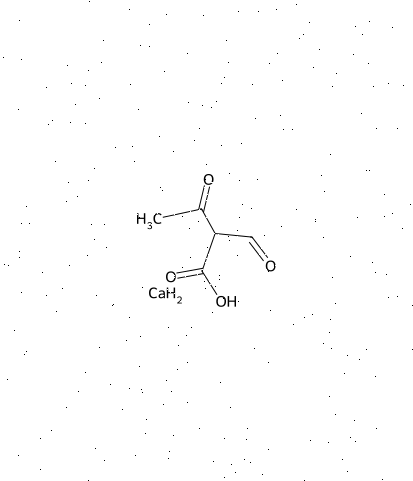 CC(=O)C(C=O)C(=O)O.[CaH2]